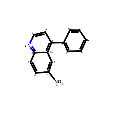 O=[N+]([O-])c1ccc2nccc(-c3ccccc3)c2c1